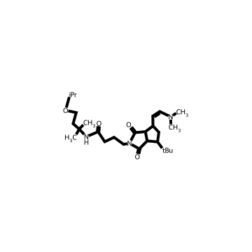 CC(C)OCCC(C)(C)NC(=O)CCCN1C(=O)C2C(/C=C\N(C)C)CC(C(C)(C)C)C2C1=O